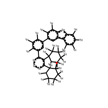 [2H]c1c(-c2cc3c([se]c4c([2H])c([2H])c([2H])c([2H])c43)c([2H])c2[2H])cc(-c2nnnc(C3([2H])C([2H])C([2H])([2H])C([2H])([2H])C([2H])([2H])C3([2H])[2H])c2C2([2H])C([2H])C([2H])([2H])C([2H])([2H])C([2H])([2H])C2([2H])[2H])c([2H])c1[2H]